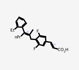 CCC/C(=C(/C)Cc1c(F)cc(/C=C/C(=O)O)cc1F)c1ccccc1CC